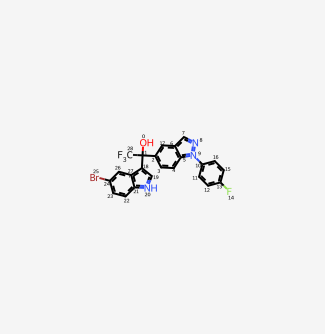 OC(c1ccc2c(cnn2-c2ccc(F)cc2)c1)(c1c[nH]c2ccc(Br)cc12)C(F)(F)F